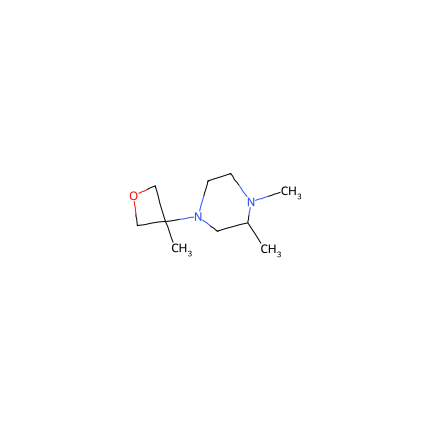 CC1CN(C2(C)COC2)CCN1C